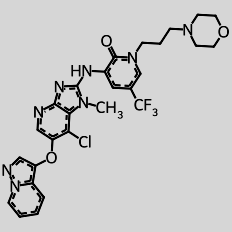 Cn1c(Nc2cc(C(F)(F)F)cn(CCCN3CCOCC3)c2=O)nc2ncc(Oc3cnn4ccccc34)c(Cl)c21